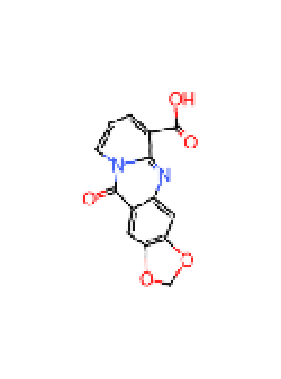 O=C(O)c1cccn2c(=O)c3cc4c(cc3nc12)OCO4